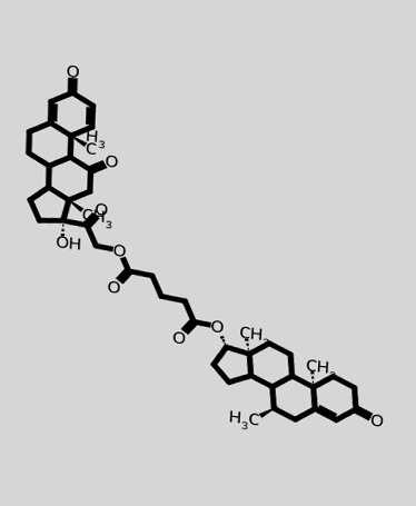 C[C@@H]1CC2=CC(=O)CC[C@]2(C)C2CC[C@@]3(C)C(CC[C@@H]3OC(=O)CCCC(=O)OCC(=O)[C@@]3(O)CCC4C5CCC6=CC(=O)C=C[C@]6(C)C5C(=O)C[C@@]43C)C21